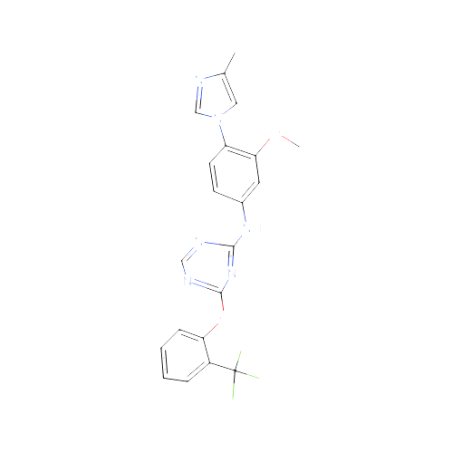 COc1cc(Nc2ncnc(Oc3ccccc3C(F)(F)F)n2)ccc1-n1cnc(C)c1